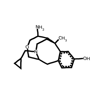 CC12CCN(CC3CC3)C(COCC(N)C1)Cc1ccc(O)cc12